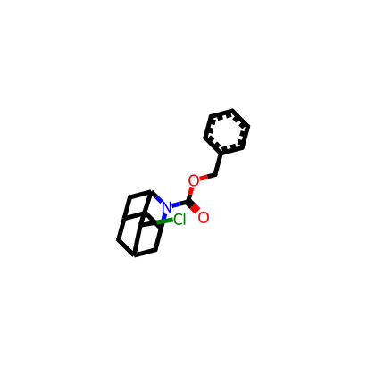 O=C(OCc1ccccc1)N1C2CC3CC(C2)C(Cl)C1C3